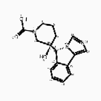 O=C(O)N1CCC[C@](O)([C@H]2c3ccccc3-c3cncn32)C1